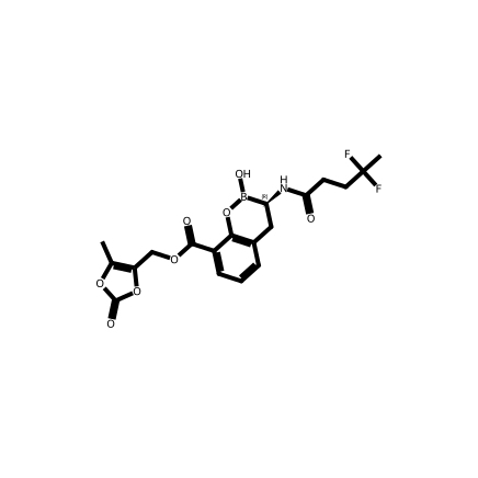 Cc1oc(=O)oc1COC(=O)c1cccc2c1OB(O)[C@@H](NC(=O)CCC(C)(F)F)C2